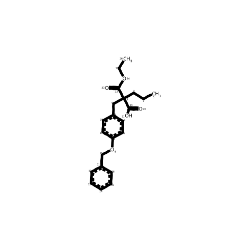 CCCC(Cc1ccc(OCc2ccccc2)cc1)(C(=O)O)C(=O)OCC